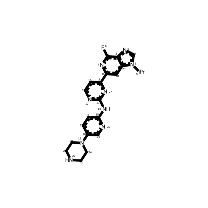 CC(C)n1cnc2c(F)nc(-c3ccnc(Nc4ccc(N5CCNCC5)cn4)n3)cc21